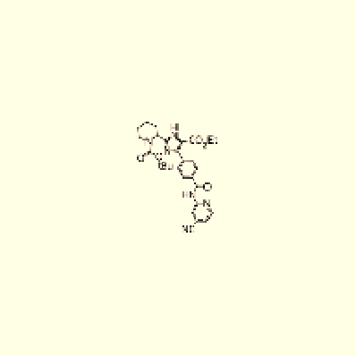 CCOC(=O)c1[nH]c(C2CCCCN2C(=O)OC(C)(C)C)nc1-c1ccc(C(=O)Nc2cc(C#N)ccn2)cc1